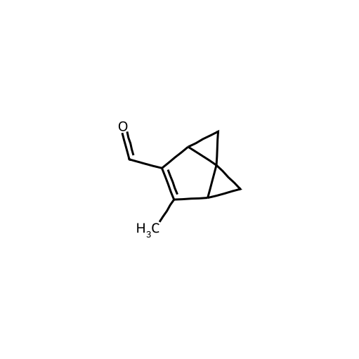 CC1=C(C=O)C2CC23CC13